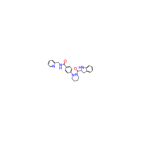 O=C(NCc1ccccn1)c1ccc(N2CCCCN2C(=O)C2Cc3ccccc3N2)cc1